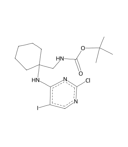 CC(C)(C)OC(=O)NCC1(Nc2nc(Cl)ncc2I)CCCCC1